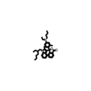 CCCCC(CC)Cn1c(C)c(C2(c3ccc(N(CC)CCCC)cc3C)OC(=O)c3ccccc32)c2ccccc21